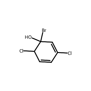 OC1(Br)C=C(Cl)C=CC1Cl